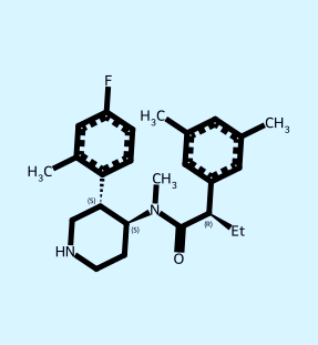 CC[C@@H](C(=O)N(C)[C@H]1CCNC[C@@H]1c1ccc(F)cc1C)c1cc(C)cc(C)c1